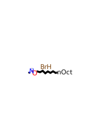 Br.CCCCCCCCCCCCCCCCON(C)C